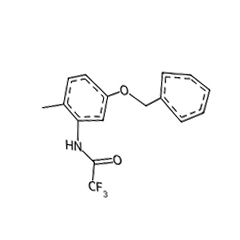 Cc1ccc(OCc2ccccc2)cc1NC(=O)C(F)(F)F